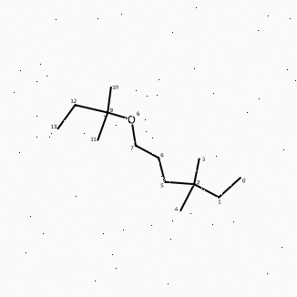 CCC(C)(C)CCCOC(C)(C)CC